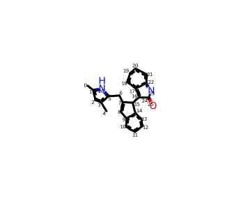 Cc1cc(C)c(CC2=Cc3ccccc3C2C2=c3ccccc3=NC2=O)[nH]1